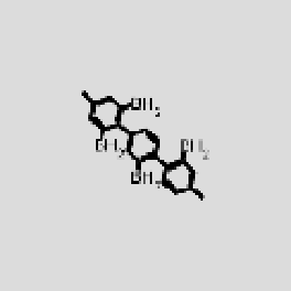 Bc1cc(C)ccc1-c1ccc(-c2c(B)cc(C)cc2B)cc1B